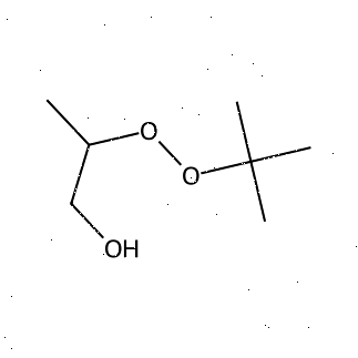 CC(CO)OOC(C)(C)C